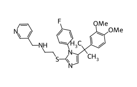 COc1ccc(C(C)(C)c2cnc(SCCNCc3cccnc3)n2-c2ccc(F)cc2)cc1OC